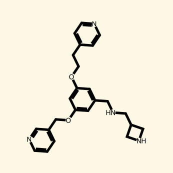 c1cncc(COc2cc(CNCC3CNC3)cc(OCCc3ccncc3)c2)c1